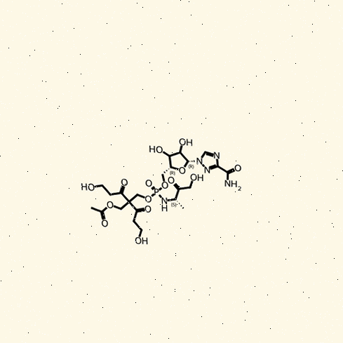 CC(=O)OCC(COP(=O)(N[C@@H](C)C(=O)CO)OC[C@H]1O[C@@H](n2cnc(C(N)=O)n2)C(O)C1O)(C(=O)CCO)C(=O)CCO